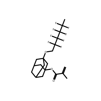 C=C(C)C(=O)OC12CC3CC(CC(OCC(F)(F)C(F)(F)C(F)(F)C(C)(F)F)(C3)C1)C2